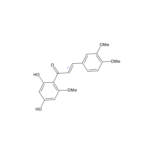 COc1ccc(/C=C/C(=O)c2c(O)cc(O)cc2OC)cc1OC